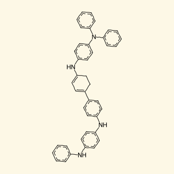 C1=C(Nc2ccc(N(c3ccccc3)c3ccccc3)cc2)CCC(c2ccc(Nc3ccc(Nc4ccccc4)cc3)cc2)=C1